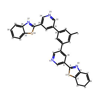 Cc1cc(-c2cncc(-c3nc4c(s3)CCC=C4)c2)cc(-c2cncc(-c3nc4ccccc4s3)c2)c1